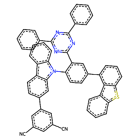 N#Cc1cc(C#N)cc(-c2ccc3c4ccccc4n(-c4ccc(-c5cccc6sc7ccccc7c56)cc4-c4nc(-c5ccccc5)nc(-c5ccccc5)n4)c3c2)c1